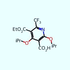 CCOC(=O)c1c(C(F)(F)F)nc(OC(C)C)c(C(=O)O)c1OC(C)C